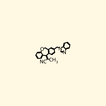 CC(C#N)=C1c2ccc(Cn3cnc4ccccc43)cc2COc2ccccc21